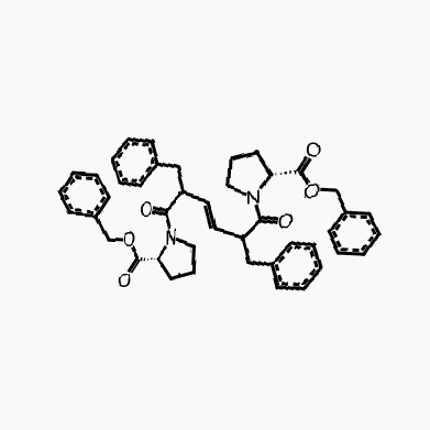 O=C(OCc1ccccc1)[C@H]1CCCN1C(=O)C(C=CC(Cc1ccccc1)C(=O)N1CCC[C@@H]1C(=O)OCc1ccccc1)Cc1ccccc1